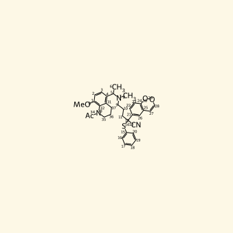 COc1ccc(C(C)N(C)CCCC(C#N)(Sc2ccccc2)c2ccc3c(c2)C=COO3)c2c1N(C(C)=O)CCC2